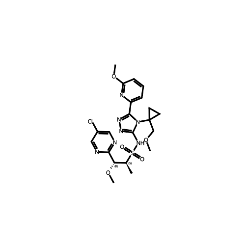 COCC1(n2c(NS(=O)(=O)[C@@H](C)[C@H](OC)c3ncc(Cl)cn3)nnc2-c2cccc(OC)n2)CC1